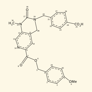 COc1ccc(COC(=O)c2cc3c(cn2)N(C)C(=O)N(Cc2ccc(C(=O)O)cc2)C3)cc1